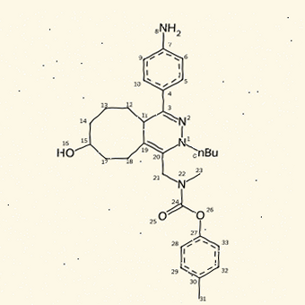 CCCCN1N=C(c2ccc(N)cc2)C2CCCC(O)CCC2=C1CN(C)C(=O)Oc1ccc(C)cc1